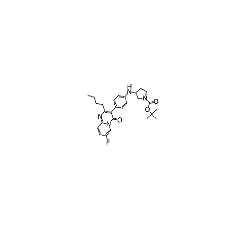 CCCCc1nc2ccc(F)cn2c(=O)c1-c1ccc(NC2CCN(C(=O)OC(C)(C)C)C2)cc1